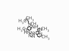 COc1cc(N(C)CCN(C)C)c(N)cc1Nc1ncnc(N2CC3(CCN(C)C3)c3nc(C)ccc32)n1